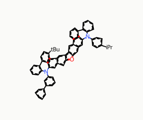 CC(C)c1ccc(N(c2ccc3cc4c(cc3c2)oc2cc3cc(N(c5cccc(-c6ccccc6)c5)c5ccccc5-c5ccc(C(C)(C)C)cc5)ccc3cc24)c2ccccc2-c2ccccc2)cc1